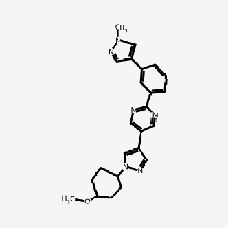 COC1CCC(n2cc(-c3cnc(-c4cccc(-c5cnn(C)c5)c4)nc3)cn2)CC1